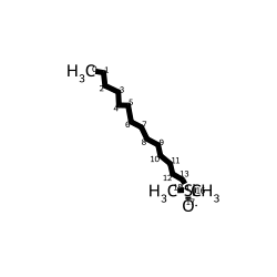 CCCCCCCCCCCCCC[Si](C)(C)[O]